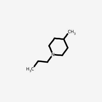 CCCN1CCC(C)CC1